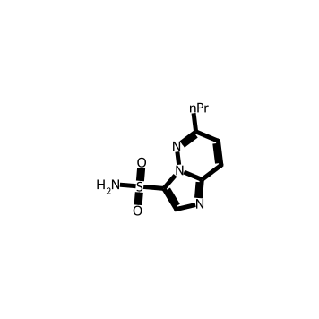 CCCc1ccc2ncc(S(N)(=O)=O)n2n1